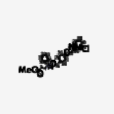 COC(=O)CC/C(=N/OCc1ccc(OCc2cn3c(Cl)cccc3n2)cc1)c1ccccc1